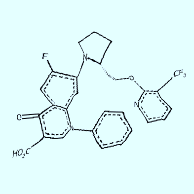 O=C(O)c1cn(-c2ccccc2)c2cc(N3CCC[C@@H]3COc3ncccc3C(F)(F)F)c(F)cc2c1=O